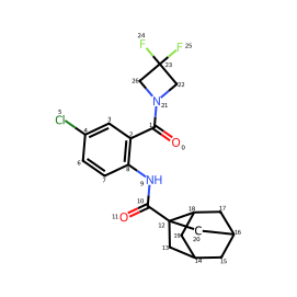 O=C(c1cc(Cl)ccc1NC(=O)C12CC3CC(CC1C3)C2)N1CC(F)(F)C1